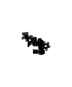 CCc1noc(-c2ccccc2S(=O)(=O)NC(=O)c2cc3c(F)cc(N4CCC4)cc3o2)n1